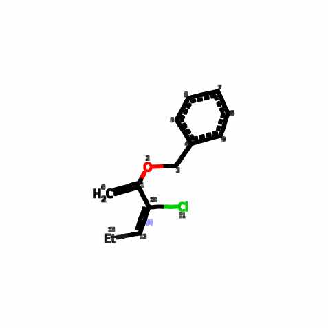 C=C(OCc1ccccc1)/C(Cl)=C\CC